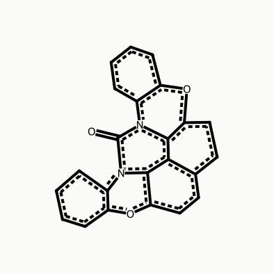 O=c1n2c3ccccc3oc3ccc4ccc5oc6ccccc6n1c5c4c32